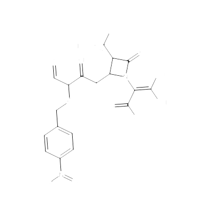 C=C(CC1C([C@H](C)F)C(=O)N1C(C(=O)O)=C(C)C)C(C=O)OCc1ccc([N+](=O)[O-])cc1